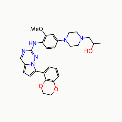 COc1cc(N2CCN(CC(C)O)CC2)ccc1Nc1ncc2ccc(-c3cccc4c3OCCO4)n2n1